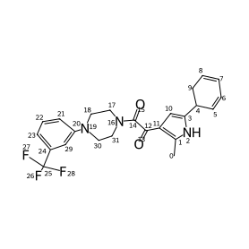 Cc1[nH]c(C2C=CC=CC2)cc1C(=O)C(=O)N1CCN(c2cccc(C(F)(F)F)c2)CC1